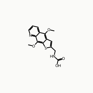 COc1c2cccnc2c(OC)c2sc(CNC(=O)O)cc12